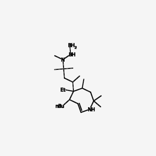 BBN(C)C(C)(C)CC(C)C1(CC)C(C)CC(C)(C)N/C=C/C1CCCC